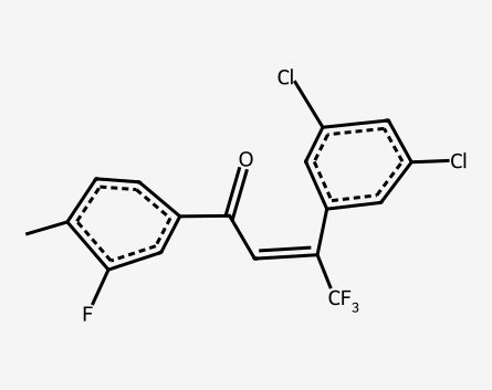 Cc1ccc(C(=O)C=C(c2cc(Cl)cc(Cl)c2)C(F)(F)F)cc1F